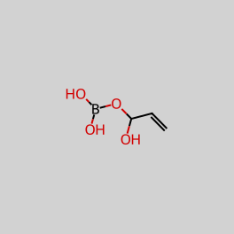 C=CC(O)OB(O)O